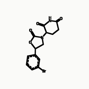 O=C1CCC(N2CC(c3cccc(Br)c3)OC2=O)C(=O)N1